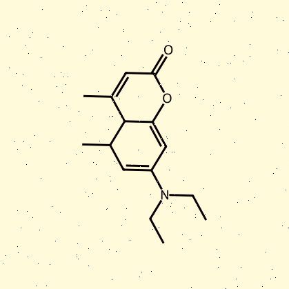 CCN(CC)C1=CC(C)C2C(C)=CC(=O)OC2=C1